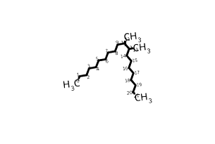 CCCCCCCCCC[C](C)C(C)CCCCCCCC